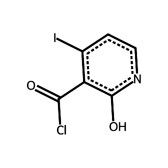 O=C(Cl)c1c(I)ccnc1O